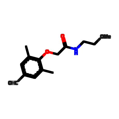 COCCNC(=O)COc1c(C)cc(C=O)cc1C